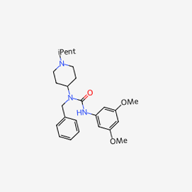 CCCC(C)N1CCC(N(Cc2ccccc2)C(=O)Nc2cc(OC)cc(OC)c2)CC1